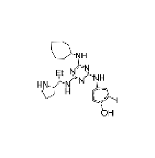 CCC(Nc1nc(Nc2ccc(O)c(I)c2)nc(NC2CCCCCC2)n1)C1CCCN1